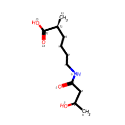 CC(O)CC(=O)NCCCC[C@H](C)C(=O)O